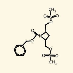 CS(=O)(=O)OCC1CC(COS(C)(=O)=O)N1C(=O)OCc1ccccc1